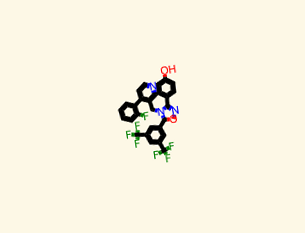 Oc1ccc(C2=NOC(c3cc(C(F)(F)F)cc(C(F)(F)F)c3)N2Cc2cnccc2-c2ccccc2F)cc1